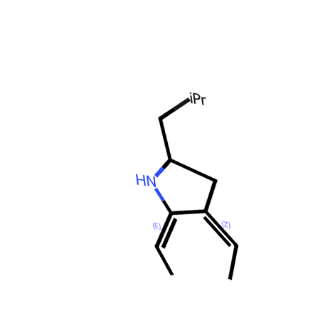 C/C=C1/CC(CC(C)C)N/C1=C/C